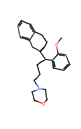 COc1ccccc1C(CCCN1CCOCC1)C1CCc2ccccc2C1